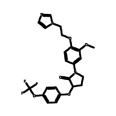 COc1cc(N2CCC(Oc3ccc(OC(F)(F)F)cc3)C2=O)ccc1OCCn1ccnc1